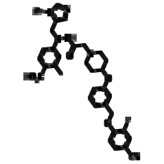 Cc1cc(N(Cc2cncn2C(C)C)NC(=O)CN2CCC(Oc3cccc(COc4ccc(C#N)cc4F)c3)CC2)ccc1C(=O)O